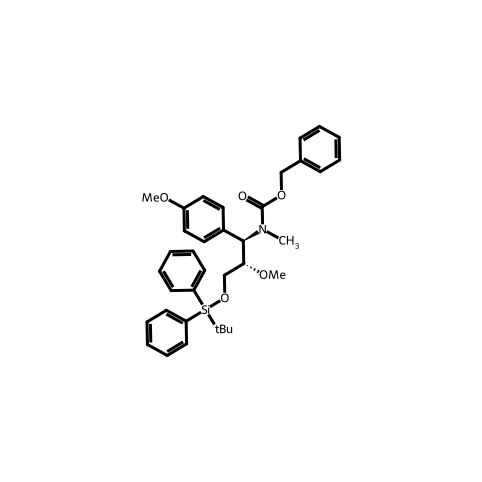 COc1ccc([C@H]([C@@H](CO[Si](c2ccccc2)(c2ccccc2)C(C)(C)C)OC)N(C)C(=O)OCc2ccccc2)cc1